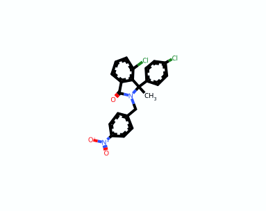 CC1(c2ccc(Cl)cc2)c2c(Cl)cccc2C(=O)N1Cc1ccc([N+](=O)[O-])cc1